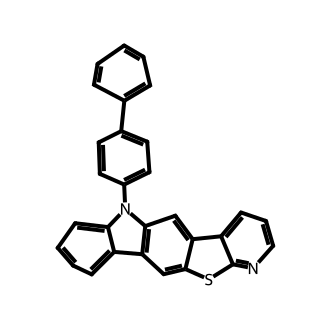 c1ccc(-c2ccc(-n3c4ccccc4c4cc5sc6ncccc6c5cc43)cc2)cc1